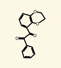 O=C(C(=O)c1cccc2c1OCCO2)c1ccccc1